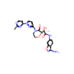 Cc1nccc(-n2ccc(N3CCO[C@H]([C@@](C)(O)C(=O)Nc4ccc5c(N)noc5c4)C3=O)n2)n1